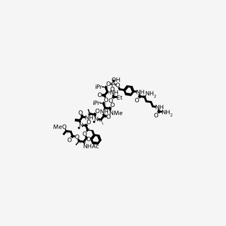 C=C(C(=O)N[C@@H](C)C(=O)N(C)[C@@H](C)C(=O)N[C@H](C(=O)NC)[C@H](OC(=O)[C@@H](NC(=O)CC)[C@H](OP(=O)(O)OCc1ccc(NC(=O)[C@@H](N)CCCNC(N)=O)cc1)C(C)C)C(C)C)N(C)C(=O)[C@@H](Cc1ccccc1)OC(=O)[C@@H](NC(C)=O)[C@@H](C)OC(=O)C[C@@H](C)OC